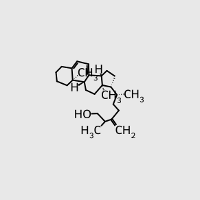 C=C(CC[C@@H](C)[C@H]1CC[C@H]2C3=CC=C4CCCC[C@]4(C)[C@H]3CC[C@]12C)C(C)CO